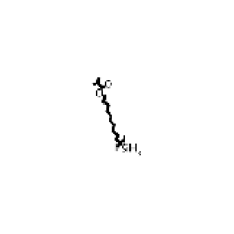 C=C(C)C(=O)OCCCCCCCCCCC([SiH3])(I)I